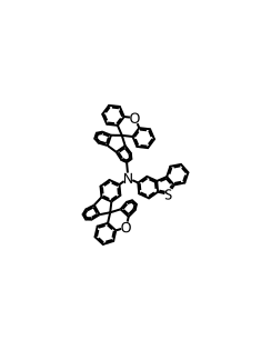 c1ccc2c(c1)Oc1ccccc1C21c2ccccc2-c2cc(N(c3ccc4c(c3)C3(c5ccccc5Oc5ccccc53)c3ccccc3-4)c3ccc4sc5ccccc5c4c3)ccc21